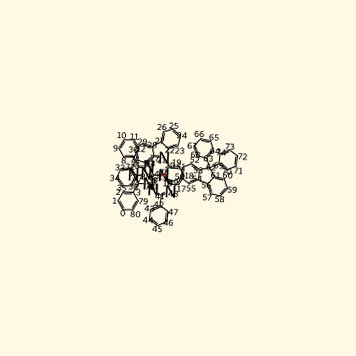 c1ccc(-c2nc(-c3ccccc3)nc(-c3ccccc3-n3c4ccccc4c4ccc5c6ccccc6n(-c6nc(-c7ccccc7)nc(-c7ccc8c(c7)-c7ccccc7C8(c7ccccc7)c7ccccc7)n6)c5c43)n2)cc1